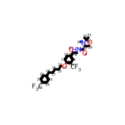 CN1[C@H](C(=O)NCC(=O)c2ccc(OCCCCCc3ccc(C(F)(F)F)cc3)c(C(F)(F)F)c2)COC1(C)C